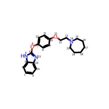 c1ccc2[nH]c(Oc3ccc(OCCN4CCCCCC4)cc3)nc2c1